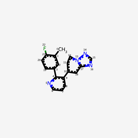 Cc1cc(-c2ncccc2-c2ccn3ncnc3c2)ccc1F